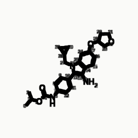 CC(C)OC(=O)Nc1ccc(-c2c(N)c3ccc(OC4CCOC4)cc3n2CC2CC2)cc1